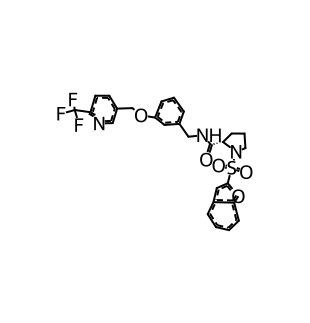 O=C(NCc1cccc(OCc2ccc(C(F)(F)F)nc2)c1)[C@@H]1CCCN1S(=O)(=O)c1cc2ccccc2o1